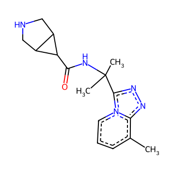 Cc1cccn2c(C(C)(C)NC(=O)C3C4CNCC43)nnc12